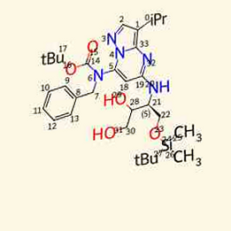 CC(C)c1cnn2c(N(Cc3ccccc3)C(=O)OC(C)(C)C)cc(N[C@@H](CO[Si](C)(C)C(C)(C)C)C(O)CO)nc12